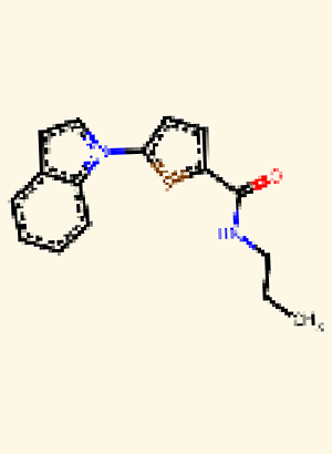 CCCNC(=O)c1ccc(-n2ccc3ccccc32)s1